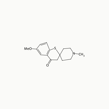 COc1ccc2c(c1)C(=O)CC1(CCN(C)CC1)S2